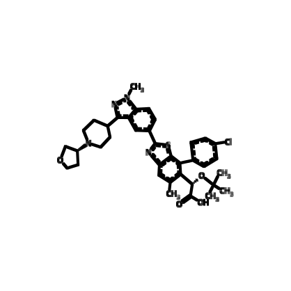 Cc1cc2nc(-c3ccc4c(c3)c(C3CCN([C@H]5CCOC5)CC3)nn4C)sc2c(-c2ccc(Cl)cc2)c1[C@H](OC(C)(C)C)C(=O)O